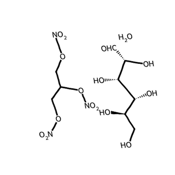 O.O=C[C@H](O)[C@@H](O)[C@H](O)[C@H](O)CO.O=[N+]([O-])OCC(CO[N+](=O)[O-])O[N+](=O)[O-]